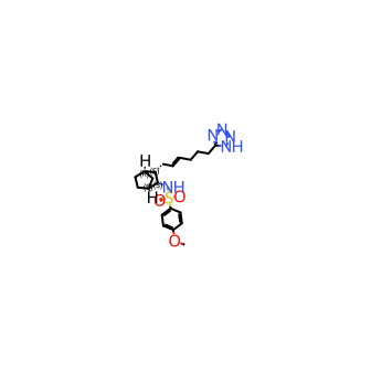 COc1ccc(S(=O)(=O)N[C@H]2[C@H]3CC[C@H](C3)[C@@H]2CC=CCCCc2nnn[nH]2)cc1